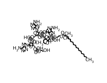 CCCCCCCCCCCCCCCCC(C)(C)C(=O)OCCSP(=O)(O)OC1[C@H](n2cnc3c(N)ncnc32)O[C@@]2(COP(=O)(O)OC3[C@@H](O)[C@@H](COP(=O)(O)OC4[C@@H](OC)[C@@H](COP(=O)(O)OCCO)O[C@H]4n4cnc5c(N)ncnc54)O[C@H]3n3cnc4c(N)ncnc43)CCCO[C@H]12